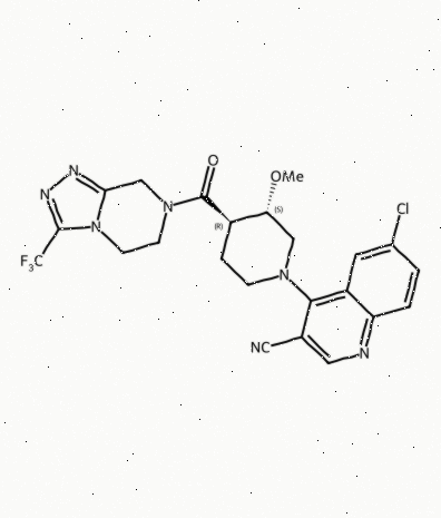 CO[C@@H]1CN(c2c(C#N)cnc3ccc(Cl)cc23)CC[C@H]1C(=O)N1CCn2c(nnc2C(F)(F)F)C1